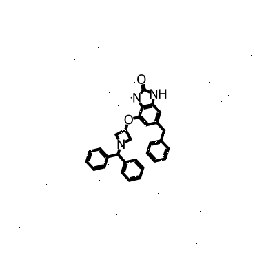 O=C1[N]c2c(cc(Cc3ccccc3)cc2OC2CN(C(c3ccccc3)c3ccccc3)C2)N1